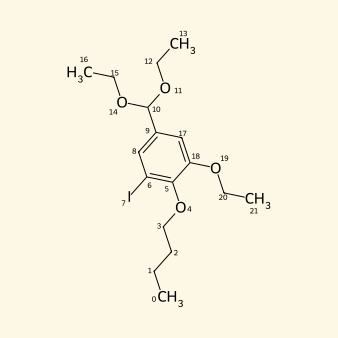 CCCCOc1c(I)cc(C(OCC)OCC)cc1OCC